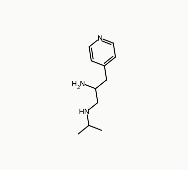 CC(C)NCC(N)Cc1ccncc1